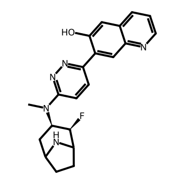 CN(c1ccc(-c2cc3ncccc3cc2O)nn1)[C@@H]1CC2CCC(N2)[C@@H]1F